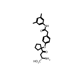 Cc1cc(C)cc(NC(=O)Cc2ccc(OC3(C(=O)C[C@H](N)C(=O)O)CCCC3)cc2)c1